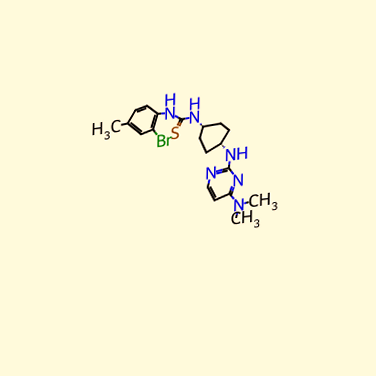 Cc1ccc(NC(=S)N[C@H]2CC[C@@H](Nc3nccc(N(C)C)n3)CC2)c(Br)c1